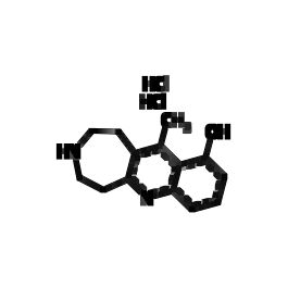 Cc1c2c(nc3cccc(O)c13)CCNCC2.Cl.Cl